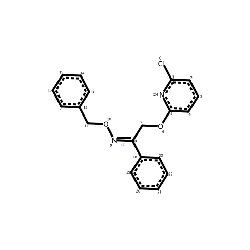 Clc1cccc(OC/C(=N\OCc2ccccc2)c2ccccc2)n1